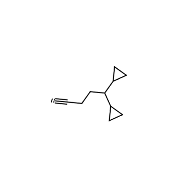 N#CCCC(C1CC1)C1CC1